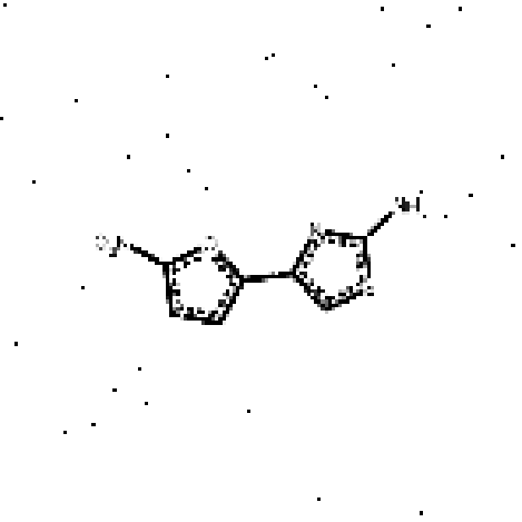 Nc1nc(-c2ccc([N+](=O)[O-])o2)cs1